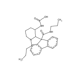 CCCCN1CCCC(NC(=O)O)C1C1(C(=O)NCCC)c2ccccc2-c2ccccc21